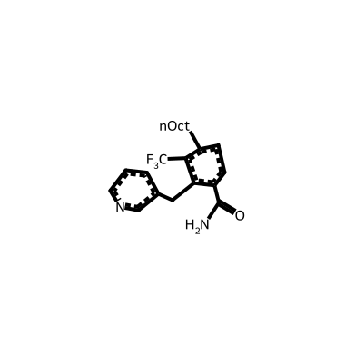 CCCCCCCCc1ccc(C(N)=O)c(Cc2cccnc2)c1C(F)(F)F